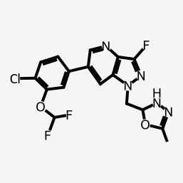 CC1=NNC(Cn2nc(F)c3ncc(-c4ccc(Cl)c(OC(F)F)c4)cc32)O1